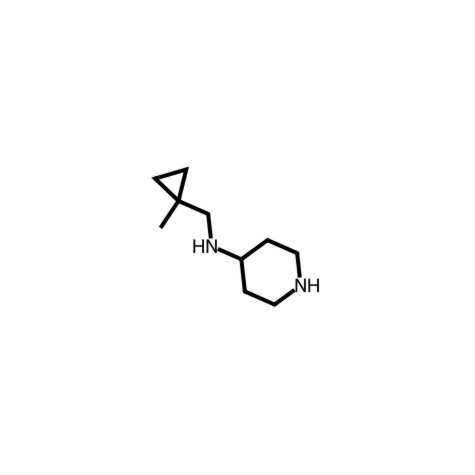 CC1(CNC2CCNCC2)CC1